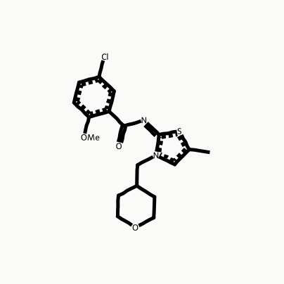 COc1ccc(Cl)cc1C(=O)N=c1sc(C)cn1CC1CCOCC1